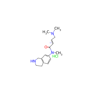 CN(C)C/C=C/C(=O)N(C)c1ccc2c(c1)CNCC2.Cl